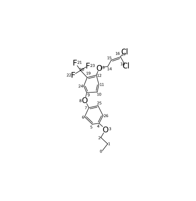 CCCOc1ccc(Oc2ccc(OCC=C(Cl)Cl)c(C(F)(F)F)c2)cc1